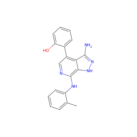 Cc1ccccc1Nc1ncc(-c2ccccc2O)c2c(N)n[nH]c12